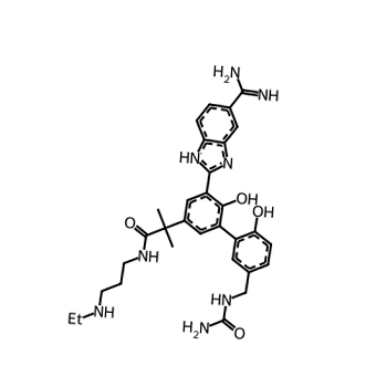 CCNCCCNC(=O)C(C)(C)c1cc(-c2nc3cc(C(=N)N)ccc3[nH]2)c(O)c(-c2cc(CNC(N)=O)ccc2O)c1